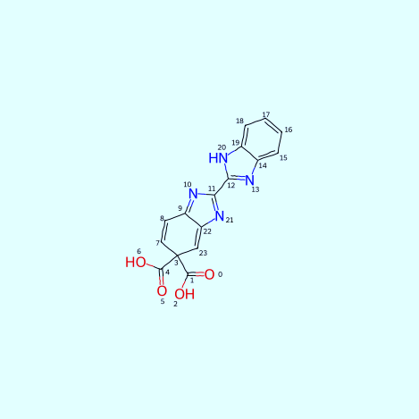 O=C(O)C1(C(=O)O)C=CC2=NC(c3nc4ccccc4[nH]3)=NC2=C1